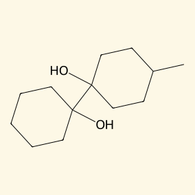 CC1CCC(O)(C2(O)CCCCC2)CC1